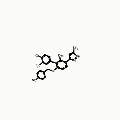 N#Cc1ccc(COc2ccc(-c3cc(C(F)(F)F)[nH]n3)c(O)c2-c2ccc(Cl)c(C(F)(F)F)c2)cc1